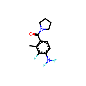 Cc1c(C(=O)N2CCCC2)ccc(N(F)F)c1F